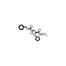 COC(=O)[C@H](CNC(=O)OCc1ccccc1)OC1CCCC1